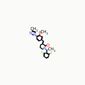 COc1cc(/C=C2\CCCN([C@H](C)c3c(F)cccc3F)C2=O)ccc1-n1cnc(C)c1